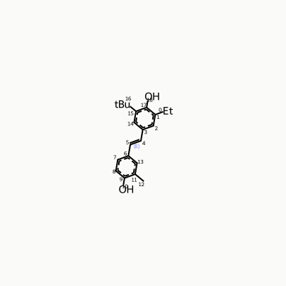 CCc1cc(/C=C/c2ccc(O)c(C)c2)cc(C(C)(C)C)c1O